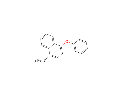 [CH2]CCCCc1ccc(Oc2ccccc2)c2ccccc12